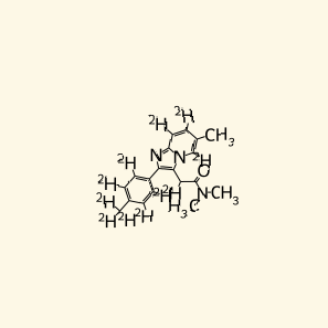 [2H]c1c([2H])c(C([2H])([2H])[2H])c([2H])c([2H])c1-c1nc2c([2H])c([2H])c(C)c([2H])n2c1C([2H])C(=O)N(C)C